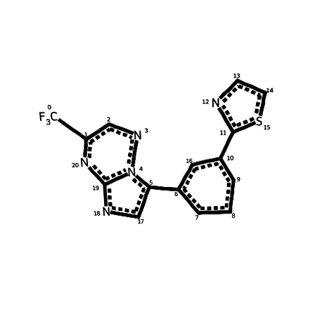 FC(F)(F)c1cnn2c(-c3cccc(-c4nccs4)c3)cnc2n1